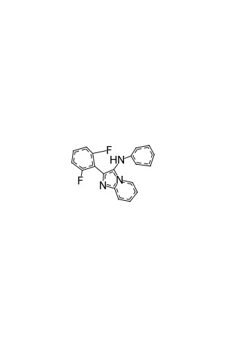 Fc1cccc(F)c1-c1nc2ccccn2c1Nc1ccccc1